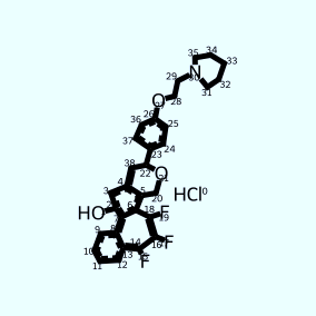 Cl.Oc1cc2c(c3c1=c1ccccc1=C(F)C(F)=C3F)COC(c1ccc(OCCN3CCCCC3)cc1)C=2